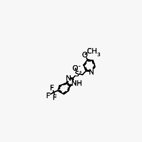 COc1ccnc(C[S+]([O-])c2nc3cc(C(F)(F)F)ccc3[nH]2)c1